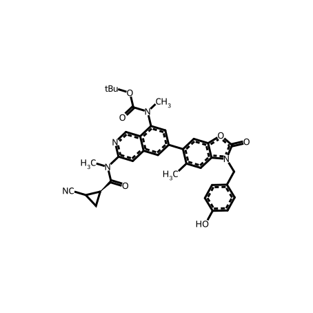 Cc1cc2c(cc1-c1cc(N(C)C(=O)OC(C)(C)C)c3cnc(N(C)C(=O)[C@H]4CC4C#N)cc3c1)oc(=O)n2Cc1ccc(O)cc1